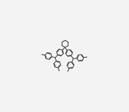 Cc1ccc(C(c2ccc(C)cc2)c2ccc(C3(c4ccc(C(c5ccc(C)cc5)c5ccc(C)cc5)cc4)CCCCC3)cc2)cc1